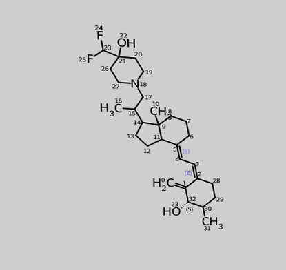 C=C1/C(=C\C=C2/CCCC3(C)C2CCC3C(C)CN2CCC(O)(C(F)F)CC2)CCC(C)[C@@H]1O